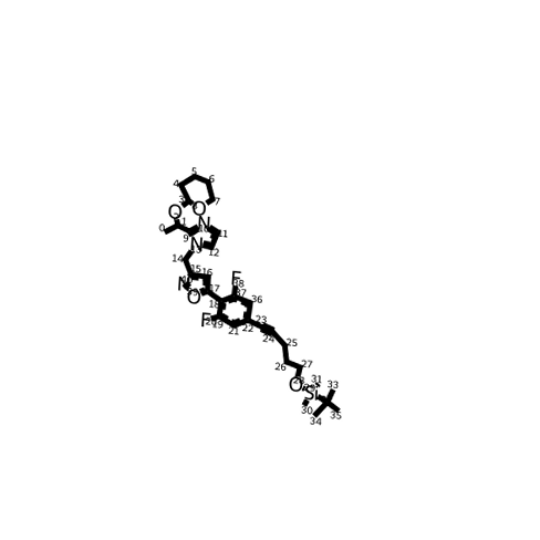 CC(OC1CCCCO1)c1nccn1Cc1cc(-c2c(F)cc(C#CCCCO[Si](C)(C)C(C)(C)C)cc2F)on1